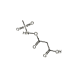 CS(=O)(=O)NOC(=O)CC(=O)O